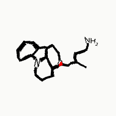 CC(CCN)CCC12CCCn3c1c(c1ccccc13)CCO2